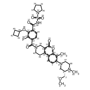 COC[C@@H]1CN(c2ccc3c4c(c(=O)oc3c2C)CN(C(=O)c2ccc(C(=O)NS(=O)(=O)N3CCCC3)c(OC3CCC3)c2F)CC4)CCN1C